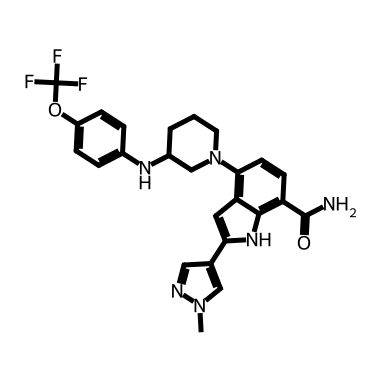 Cn1cc(-c2cc3c(N4CCCC(Nc5ccc(OC(F)(F)F)cc5)C4)ccc(C(N)=O)c3[nH]2)cn1